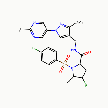 COc1nn(-c2cnc(C(F)(F)F)nc2)cc1CNC(=O)C1CC(F)C(C)N1S(=O)(=O)c1ccc(F)cc1